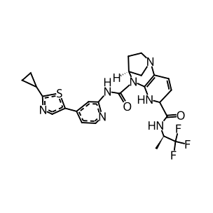 C[C@@H](NC(=O)C1C=CC2=C(N1)N(C(=O)Nc1cc(-c3cnc(C4CC4)s3)ccn1)[C@H]1CCN2C1)C(F)(F)F